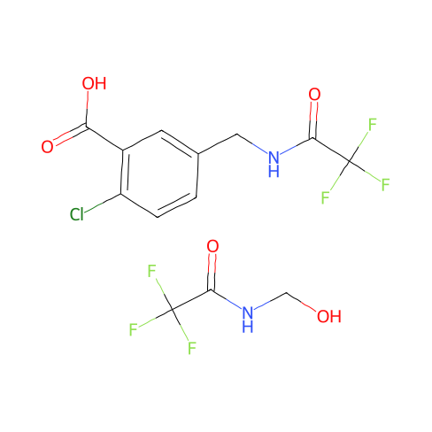 O=C(NCO)C(F)(F)F.O=C(O)c1cc(CNC(=O)C(F)(F)F)ccc1Cl